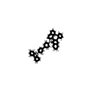 c1ccc2c(c1)-c1cccc3ccc4c(c13)c1c-2cc2ccccc2c1n4-c1ccc(-c2ccc(-n3c4ccccc4c4ccccc43)cc2)cc1